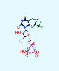 CN(Cc1cn([C@@H]2O[C@H](COP3(=O)OP(=O)(O)OP(=O)(O)O3)C(O)C2O)c(=O)[nH]c1=O)C(=O)C(F)(F)F